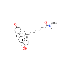 CCCCN(C)C(=O)CCCCCCCC1CC2CC(=O)CC[C@]2(C)[C@@H]2CC[C@]3(C)C(O)CC[C@H]3[C@H]12